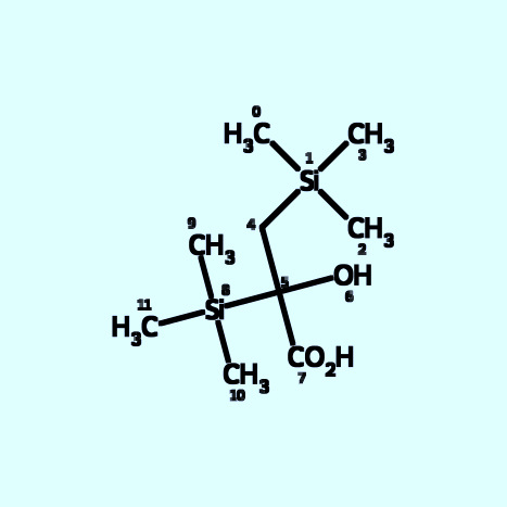 C[Si](C)(C)CC(O)(C(=O)O)[Si](C)(C)C